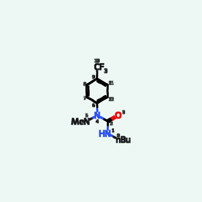 CCCCNC(=O)N(NC)c1ccc(C(F)(F)F)cc1